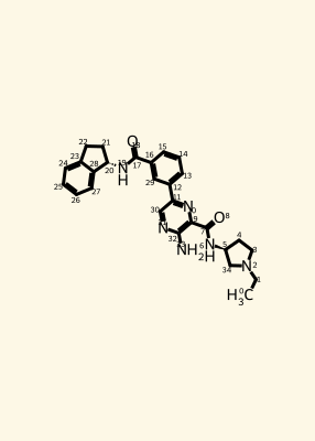 CCN1CC[C@H](NC(=O)c2nc(-c3cccc(C(=O)N[C@H]4CCc5ccccc54)c3)cnc2N)C1